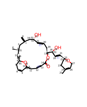 C=C1C[C@H](C)C[C@@H]2CC=C[C@@H](C/C=C\C(=O)O[C@H]([C@@H](O)/C=C/[C@@H]3CC(C)=CCO3)C/C=C/[C@@H](O)C1)O2